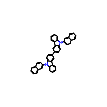 C1=CC2=CC(n3c4ccccc4c4cc(-c5ccc6c(c5)c5ccccc5n6-c5ccc6ccccc6c5)ccc43)=CCC2C=C1